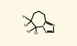 [2H]C1([2H])CCCc2ncnn2C1([2H])[2H]